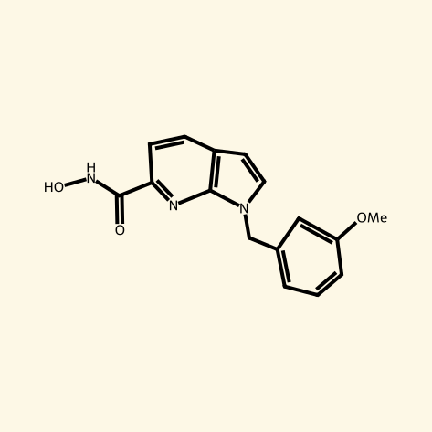 COc1cccc(Cn2ccc3ccc(C(=O)NO)nc32)c1